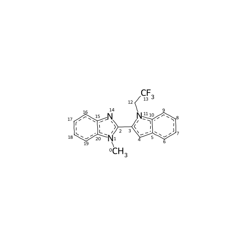 Cn1c(-c2cc3ccccc3n2CC(F)(F)F)nc2ccccc21